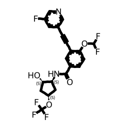 O=C(N[C@H]1C[C@H](OC(F)(F)F)C[C@@H]1O)c1ccc(OC(F)F)c(C#Cc2cncc(F)c2)c1